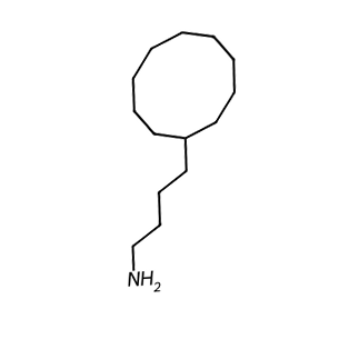 NCCCCC1CCCCCCCCC1